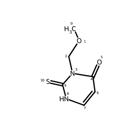 COCn1c(=O)cc[nH]c1=S